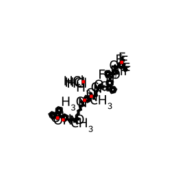 CN(CCN1CCC(N(C(=O)O)c2ccccc2-c2ccccc2)CC1)C(=O)CCCCCCN(C)c1ccc(C(=O)N(C)CCCN(C)C(=O)CO[C@H]2Cc3ccccc3C23CCN(CC[C@@]2(c4ccc(F)cc4)CN(C(=O)c4cc(C(F)(F)F)cc(C(F)(F)F)c4)CO2)CC3)cc1.Cl.Cl.Cl